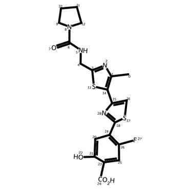 Cc1nc(CNC(=O)N2CCCC2)sc1-c1csc(-c2cc(O)c(C(=O)O)cc2F)n1